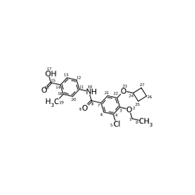 CCOc1c(Cl)cc(C(=O)Nc2ccc(C(=O)O)c(C)c2)cc1OC1CCC1